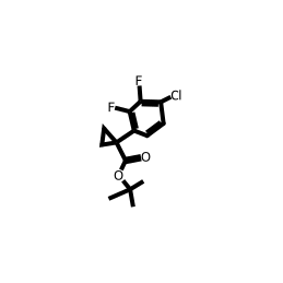 CC(C)(C)OC(=O)C1(c2ccc(Cl)c(F)c2F)CC1